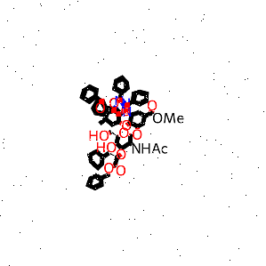 COC(=O)C1CC(O[C@@H]2O[C@@H](CO)C(O)C(O[C@@H](CC3CCCCC3)C(=O)OCc3ccccc3)C2NC(C)=O)C(OC2CC(C)C(OCc3ccccc3)C(OCc3ccccc3)C2OCc2ccccc2)[C@H](n2cc(-c3ccccc3)nn2)C1